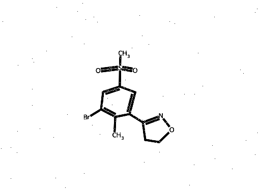 Cc1c(Br)cc(S(C)(=O)=O)cc1C1=NOCC1